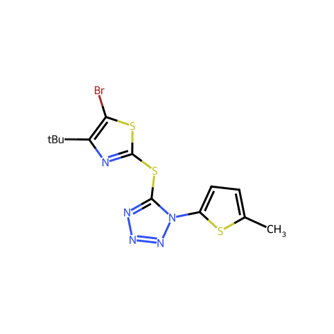 Cc1ccc(-n2nnnc2Sc2nc(C(C)(C)C)c(Br)s2)s1